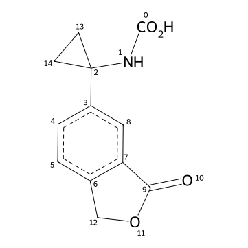 O=C(O)NC1(c2ccc3c(c2)C(=O)OC3)CC1